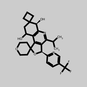 CC(C)c1nc2c(c3c1[C@@H](c1ccc(C(F)(F)F)cn1)OC31CCOCC1)C(O)CC1(CCC1)[C@H]2O